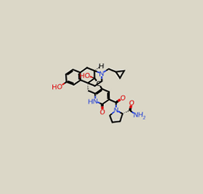 NC(=O)[C@@H]1CCCN1C(=O)c1cc2c([nH]c1=O)C[C@]13CCN(CC4CC4)[C@H](Cc4ccc(O)cc41)[C@]3(O)C2